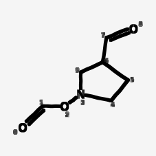 O=CON1CCC(C=O)C1